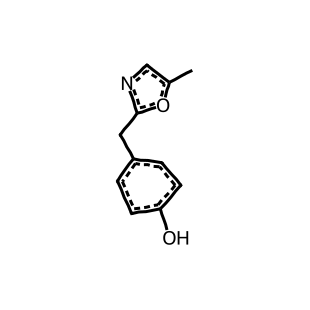 Cc1cnc(Cc2ccc(O)cc2)o1